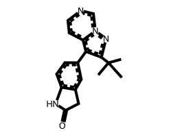 CC(C)(C)c1nn2cnccc2c1-c1ccc2c(c1)CC(=O)N2